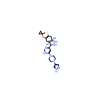 CC1(OC2=C(F)C[C@H]3NNC(C4=NCNC(N5CCN(c6cn[nH]c6)CC5)=C4)[C@H]3C2)CC1